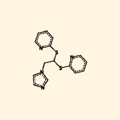 c1ccc(SC(Cn2ccnc2)Sc2ccccn2)nc1